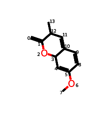 C=C1OC2C=C(OC)C=CC2=CC1C